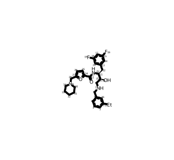 CCc1cccc(CNC[C@H](O)[C@H](Cc2cc(F)cc(F)c2)NC(=O)c2ccc(CN3CCCCC3)o2)c1